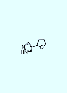 c1n[nH]cc1C1CCCO1